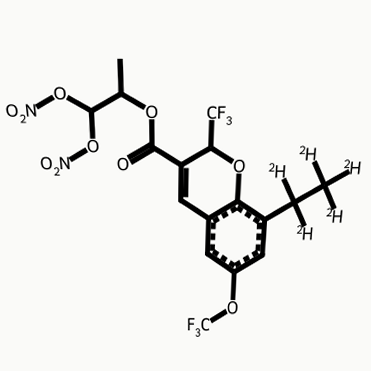 [2H]C([2H])([2H])C([2H])([2H])c1cc(OC(F)(F)F)cc2c1OC(C(F)(F)F)C(C(=O)OC(C)C(O[N+](=O)[O-])O[N+](=O)[O-])=C2